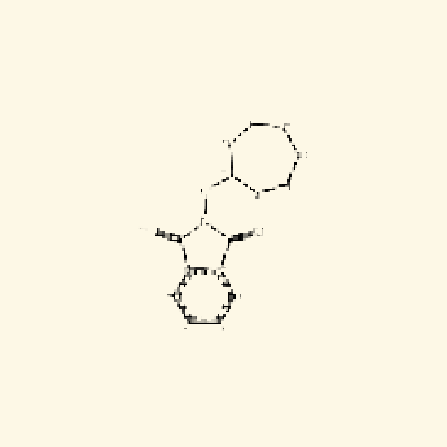 O=C1c2ccccc2C(=O)N1OC1CCCCCC1